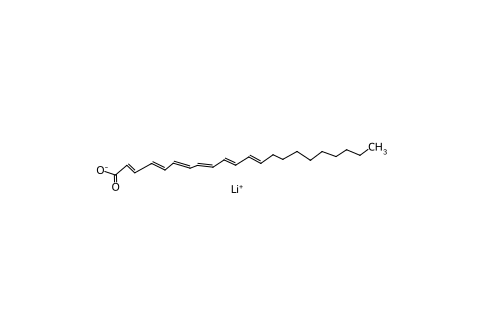 CCCCCCCCC/C=C/C=C/C=C/C=C/C=C/C=C/C(=O)[O-].[Li+]